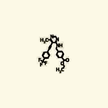 CCOC(=O)c1ccc(CNc2ncnc(C)c2C#Cc2ccc(C(F)(F)F)cc2)cc1